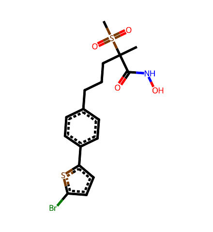 CC(CCCc1ccc(-c2ccc(Br)s2)cc1)(C(=O)NO)S(C)(=O)=O